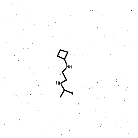 CC(I)NCCNC1CCC1